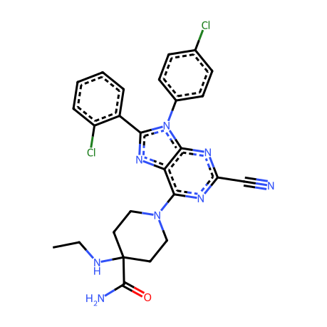 CCNC1(C(N)=O)CCN(c2nc(C#N)nc3c2nc(-c2ccccc2Cl)n3-c2ccc(Cl)cc2)CC1